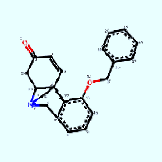 O=C1C=CC23CCN(Cc4cccc(OCc5ccccc5)c42)C3C1